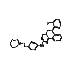 Fc1ccccc1[C@@H]1Cc2cnc(Nc3ccc(CCN4CCCCC4)cc3)nc2-c2ccccc21